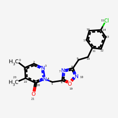 Cc1cnn(Cc2nc(CCc3ccc(Cl)cc3)no2)c(=O)c1C